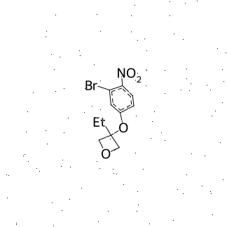 CCC1(Oc2ccc([N+](=O)[O-])c(Br)c2)COC1